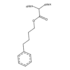 CCCCCCC(CCCCCC)C(=O)OCCCCc1ccccc1